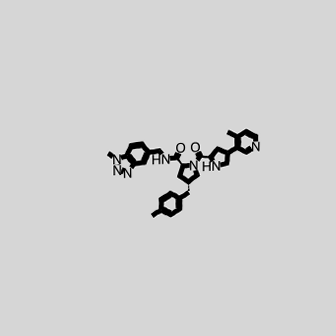 Cc1ccc(C[C@@H]2C[C@@H](C(=O)NCc3ccc4c(c3)nnn4C)N(C(=O)[C@H]3CC(c4cnccc4C)CN3)C2)cc1